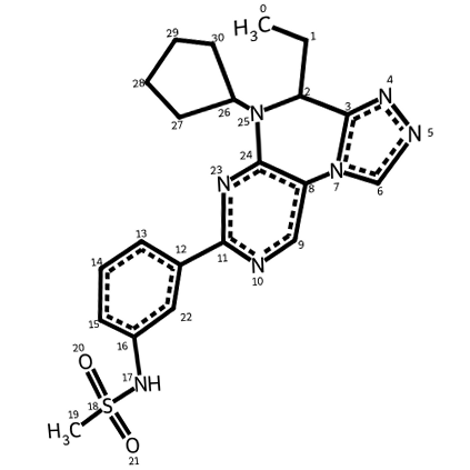 CCC1c2nncn2-c2cnc(-c3cccc(NS(C)(=O)=O)c3)nc2N1C1CCCC1